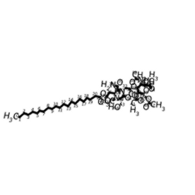 CCCCCCCCCCCCCCCCCCCCCC(=O)OC(=O)CC[C@H](C(N)=O)N(CC(C)O[C@H]1[C@H](OC(C)=O)[C@@H](COC(C)=O)O[C@@](O)(C(C)=O)[C@@H]1NC(C)=O)C(=O)[C@H](CO)NC